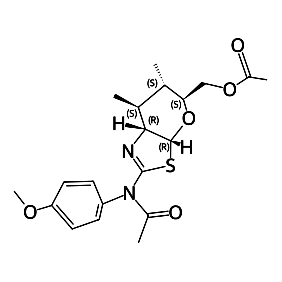 COc1ccc(N(C(C)=O)C2=N[C@@H]3[C@@H](C)[C@H](C)[C@@H](COC(C)=O)O[C@@H]3S2)cc1